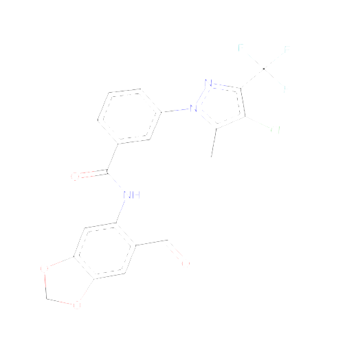 Cc1c(Cl)c(C(F)(F)F)nn1-c1cccc(C(=O)Nc2cc3c(cc2C=O)OCO3)c1